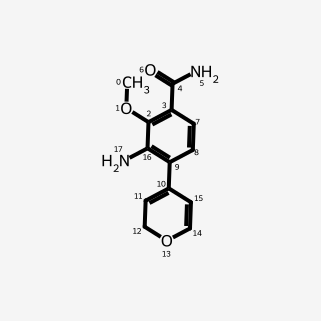 COc1c(C(N)=O)ccc(C2=CCOC=C2)c1N